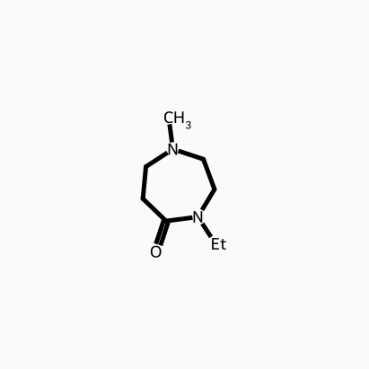 CCN1CCN(C)CCC1=O